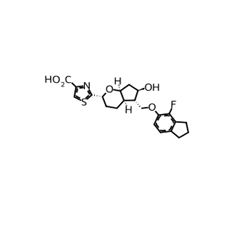 O=C(O)c1csc([C@H]2CC[C@@H]3[C@@H](COc4ccc5c(c4F)CCC5)[C@H](O)C[C@@H]3O2)n1